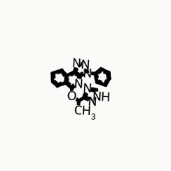 CC(Oc1nc2c(nnn2-c2ccccc2)c2ccccc12)c1nc[nH]n1